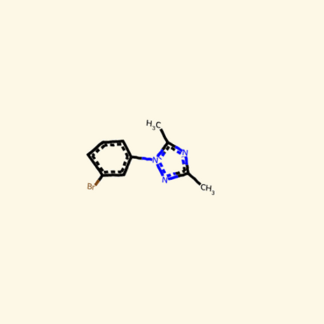 Cc1nc(C)n(-c2cccc(Br)c2)n1